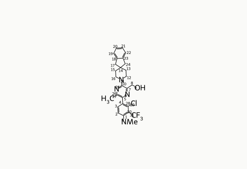 CNc1ccc(-c2nc(CO)c(N3CCC4(CC3)Cc3ccccc3C4)nc2C)c(Cl)c1C(F)(F)F